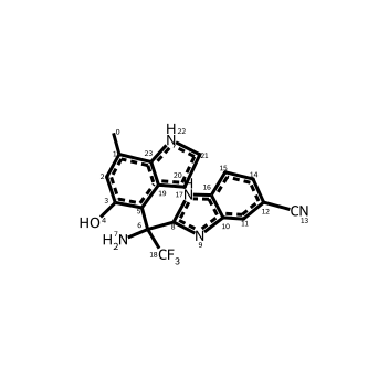 Cc1cc(O)c(C(N)(c2nc3cc(C#N)ccc3[nH]2)C(F)(F)F)c2cc[nH]c12